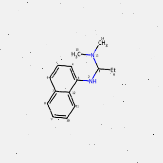 CCC(Nc1cccc2ccccc12)N(C)C